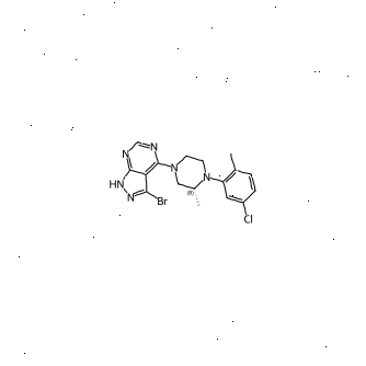 Cc1ccc(Cl)cc1N1CCN(c2ncnc3[nH]nc(Br)c23)C[C@H]1C